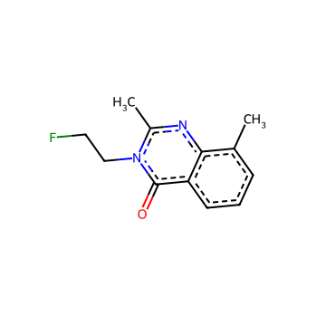 Cc1cccc2c(=O)n(CCF)c(C)nc12